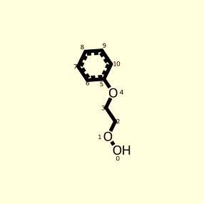 OOCCOc1ccccc1